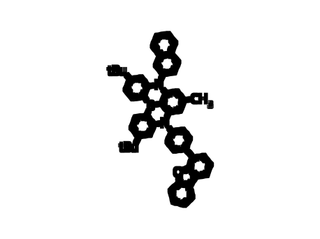 Cc1cc2c3c(c1)N(c1ccc4ccccc4c1)c1cc(C(C)(C)C)ccc1B3c1ccc(C(C)(C)C)cc1N2c1ccc(-c2cccc3c2oc2ccccc23)cc1